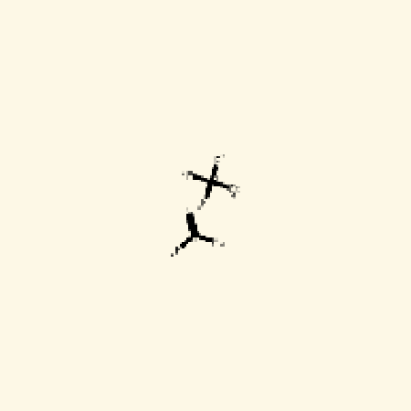 C=C(F)F.CCC(F)(F)F